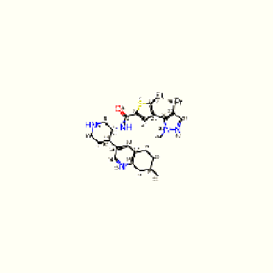 CCc1sc(C(=O)N[C@H]2CNCC[C@@H]2c2cnc3c(c2)CCC(C)C3)cc1-c1c(C(C)C)cnn1C